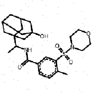 Cc1ccc(C(=O)NC(C)C23CC4CC(CC(O)(C4)C2)C3)cc1S(=O)(=O)N1CCOCC1